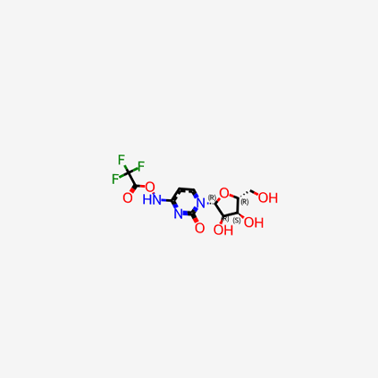 O=C(ONc1ccn([C@@H]2O[C@H](CO)[C@@H](O)[C@H]2O)c(=O)n1)C(F)(F)F